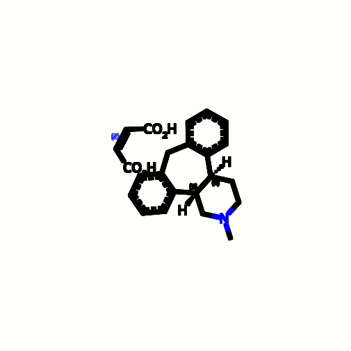 CN1CC[C@@H]2c3ccccc3Cc3ccccc3[C@H]2C1.O=C(O)/C=C\C(=O)O